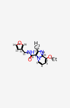 CCOc1cccn2c(C(=O)NCc3ccoc3)c(C)nc12